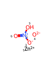 O=[N+]([O-])O.[O-2].[Zn+2]